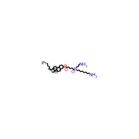 CC(C)CCC[C@@H](C)[C@H]1CC[C@H]2[C@@H]3CC=C4C[C@@H](OC(=O)CCCC(=O)N(CCCN)CCCCCCCCN)CC[C@]4(C)C3CC[C@]12C